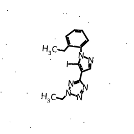 CCc1ccccc1-n1ncc(-c2nnn(CC)n2)c1I